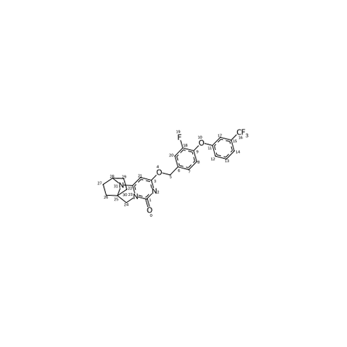 O=c1nc(OCc2ccc(Oc3cccc(C(F)(F)F)c3)c(F)c2)cc2n1CC13CCC(CC1)N23